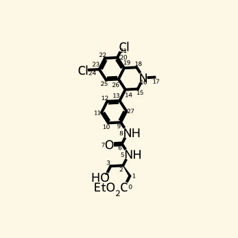 CCOC(=O)C[C@@H](CO)NC(=O)Nc1cccc(C2CN(C)Cc3c(Cl)cc(Cl)cc32)c1